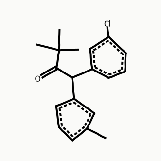 Cc1cccc(C(C(=O)C(C)(C)C)c2cccc(Cl)c2)c1